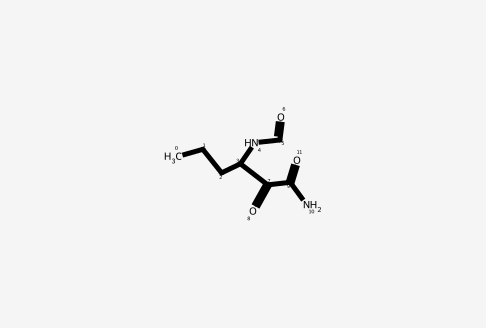 CCCC(NC=O)C(=O)C(N)=O